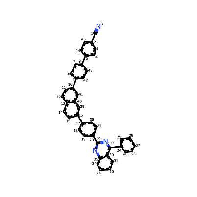 N#Cc1ccc(-c2ccc(-c3ccc4ccc(-c5ccc(-c6nc(-c7ccccc7)c7ccccc7n6)cc5)cc4c3)cc2)cc1